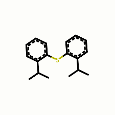 CC(C)c1ccccc1Sc1ccccc1C(C)C